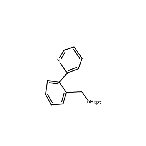 CCCCCCCCc1ccccc1-c1ccccn1